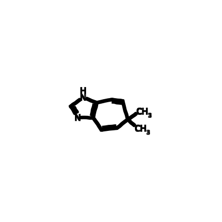 CC1(C)C=Cc2nc[nH]c2C=C1